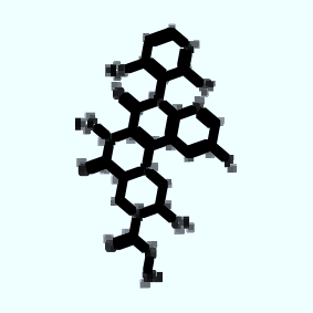 Cc1ccnc(C(C)C)c1-n1c(=O)c2c(c3cc(F)cnc31)N1CC(C)N(C(=O)OC(C)(C)C)CC1C(=O)N2C